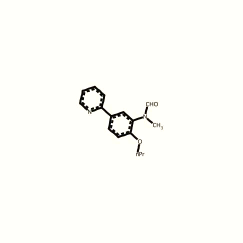 CCCOc1ccc(-c2ccccn2)cc1N(C)C=O